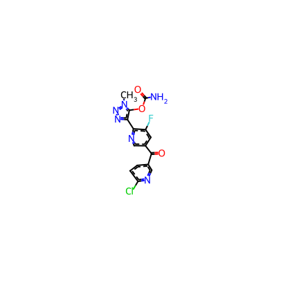 Cn1nnc(-c2ncc(C(=O)c3ccc(Cl)nc3)cc2F)c1OC(N)=O